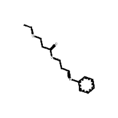 CCOCCC(=O)OCCC=Nc1ccccc1